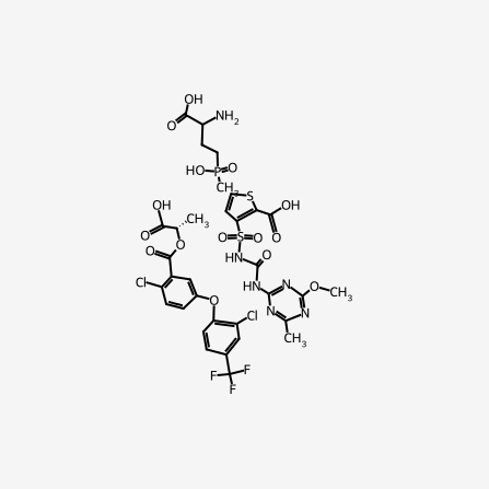 COc1nc(C)nc(NC(=O)NS(=O)(=O)c2ccsc2C(=O)O)n1.CP(=O)(O)CCC(N)C(=O)O.C[C@H](OC(=O)c1cc(Oc2ccc(C(F)(F)F)cc2Cl)ccc1Cl)C(=O)O